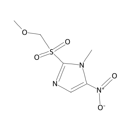 COCS(=O)(=O)c1ncc([N+](=O)[O-])n1C